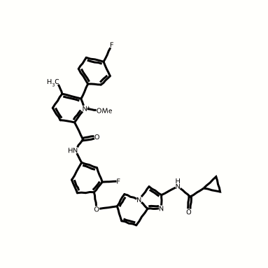 CO[n+]1c(C(=O)Nc2ccc(Oc3ccc4nc(NC(=O)C5CC5)cn4c3)c(F)c2)ccc(C)c1-c1ccc(F)cc1